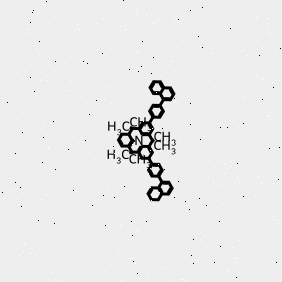 CC1(C)C2=C3C(CC=C2)C(C)(C)c2cc(-c4ccc(-c5cccc6ccccc56)cc4)cc4c2N3C2=C1CC(c1ccc(-c3cccc5c3C=CCC5)cc1)C=C2C4(C)C